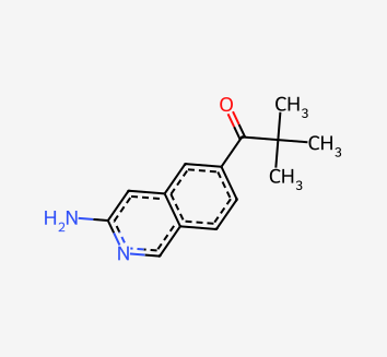 CC(C)(C)C(=O)c1ccc2cnc(N)cc2c1